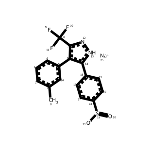 Cc1cccc(-c2c(C(F)(F)F)n[nH]c2-c2ccc(S(=O)[O-])cc2)c1.[Na+]